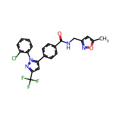 Cc1cc(CNC(=O)c2ccc(-c3cc(C(F)(F)F)nn3-c3ccccc3Cl)cc2)no1